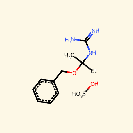 CCC(C)(NC(=N)N)OCc1ccccc1.O=S(=O)(O)O